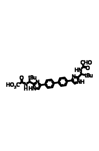 CC(C)(C)C(NC(=O)C=O)c1nc(-c2ccc(-c3ccc(-c4c[nH]c(C(NC(=O)C(=O)O)C(C)(C)C)n4)cc3)cc2)c[nH]1